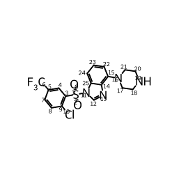 O=S(=O)(c1cc(C(F)(F)F)ccc1Cl)n1cnc2c(N3CCNCC3)cccc21